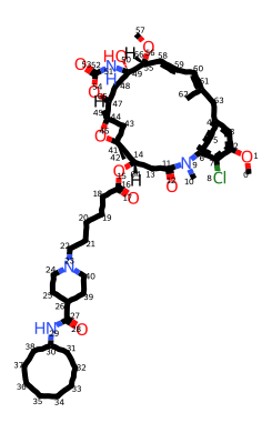 COc1cc2cc(c1Cl)N(C)C(=O)C[C@H](OC(=O)CCCCCN1CCC(C(=O)NC3CCCCCCCC3)CC1)[C@@]1(C)CC(C)(O1)[C@@H]1C[C@@](O)(NC(=O)O1)[C@H](OC)/C=C/C=C(\C)C2